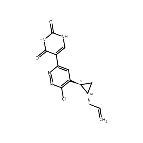 C=CC[C@H]1C[C@@H]1c1cc(-c2c[nH]c(=O)[nH]c2=O)nnc1Cl